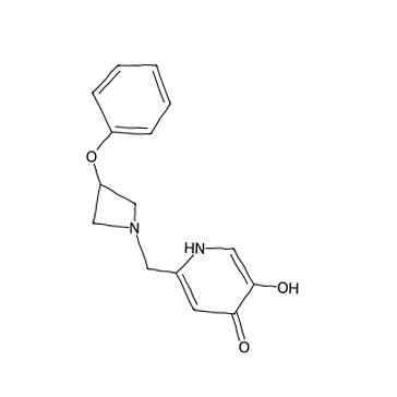 O=c1cc(CN2CC(Oc3ccccc3)C2)[nH]cc1O